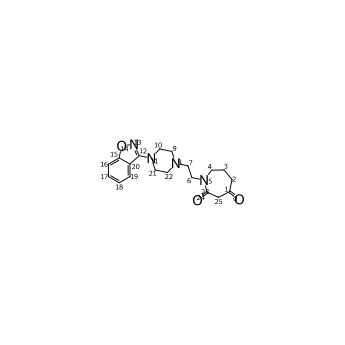 O=C1CCCN(CCN2CCN(c3noc4ccccc34)CC2)C(=O)C1